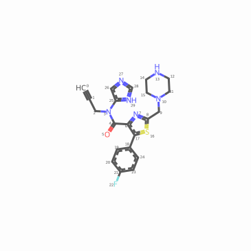 C#CCN(C(=O)c1nc(CN2CCNCC2)sc1-c1ccc(F)cc1)c1cnc[nH]1